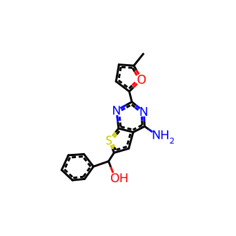 Cc1ccc(-c2nc(N)c3cc(C(O)c4ccccc4)sc3n2)o1